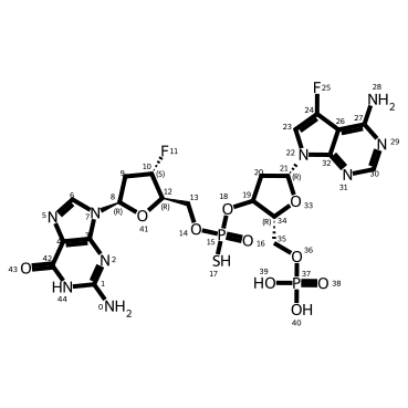 Nc1nc2c(ncn2[C@H]2C[C@H](F)[C@@H](COP(=O)(S)OC3C[C@H](n4cc(F)c5c(N)ncnc54)O[C@@H]3COP(=O)(O)O)O2)c(=O)[nH]1